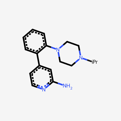 CC(C)N1CCN(c2ccccc2-c2ccnc(N)c2)CC1